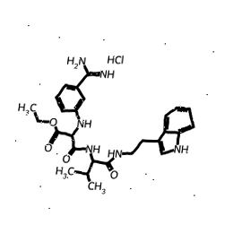 CCOC(=O)C(Nc1cccc(C(=N)N)c1)C(=O)NC(C(=O)NCCc1c[nH]c2ccccc12)C(C)C.Cl